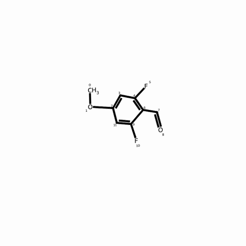 COc1cc(F)c(C=O)c(F)c1